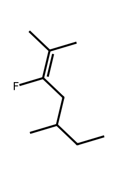 CCC(C)CC(F)=C(C)C